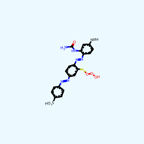 CNc1ccc(N=Nc2ccc(N=Nc3ccc(S(=O)(=O)O)cc3)cc2SOOO)c(NC(N)=O)c1